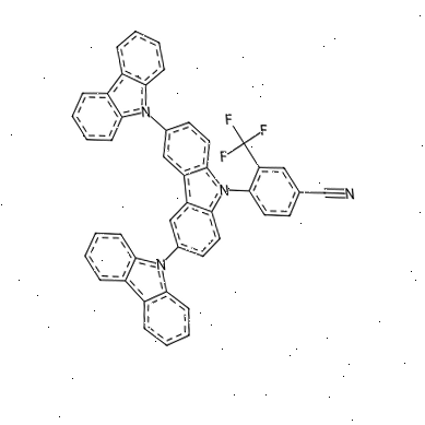 N#Cc1ccc(-n2c3ccc(-n4c5ccccc5c5ccccc54)cc3c3cc(-n4c5ccccc5c5ccccc54)ccc32)c(C(F)(F)F)c1